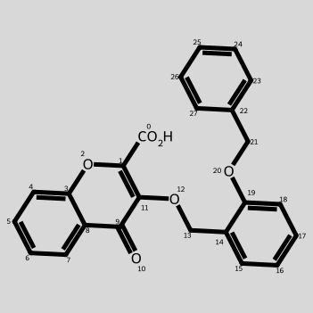 O=C(O)c1oc2ccccc2c(=O)c1OCc1ccccc1OCc1ccccc1